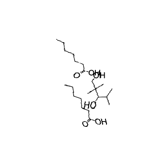 CC(C)C(O)C(C)(C)CO.CCCCCCC(=O)O.CCCCCCC(=O)O